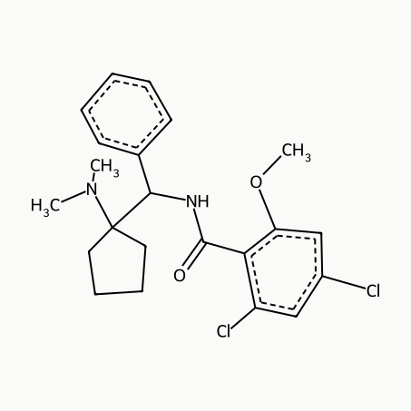 COc1cc(Cl)cc(Cl)c1C(=O)NC(c1ccccc1)C1(N(C)C)CCCC1